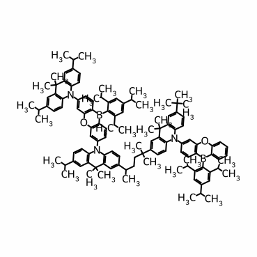 CC(C)c1cc(C(C)C)c(B2c3ccccc3Oc3cc(N4c5ccc(C(C)(C)C)cc5C(C)(C)c5cc(C(C)(C)CCC(C)c6ccc7c(c6)C(C)(C)c6cc(C(C)C)ccc6N7c6ccc7c(c6)Oc6cc(N8c9ccc(C(C)C)cc9C(C)(C)c9cc(C(C)C)ccc98)ccc6B7c6c(C(C)C)cc(C(C)C)cc6C(C)C)ccc54)ccc32)c(C(C)C)c1